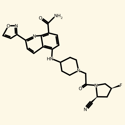 N#C[C@@H]1C[C@H](F)CN1C(=O)CN1CCC(Nc2ccc(C(N)=O)c3nc(-c4ccon4)ccc23)CC1